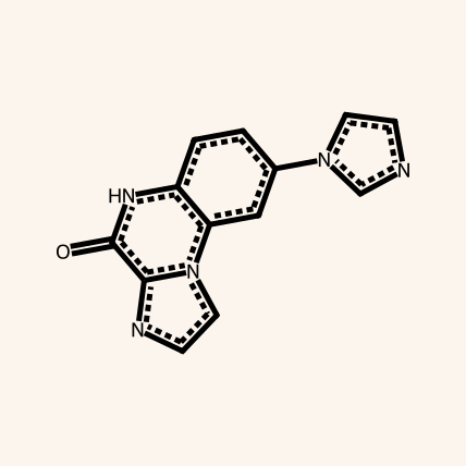 O=c1[nH]c2ccc(-n3ccnc3)cc2n2ccnc12